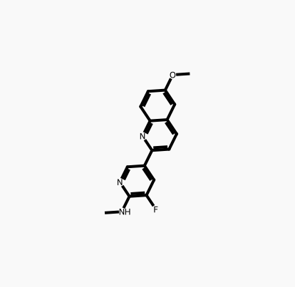 CNc1ncc(-c2ccc3cc(OC)ccc3n2)cc1F